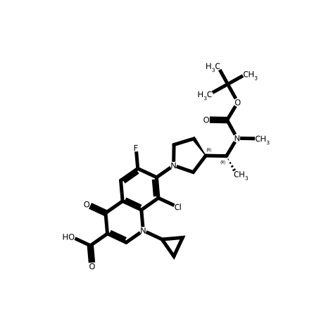 C[C@H]([C@@H]1CCN(c2c(F)cc3c(=O)c(C(=O)O)cn(C4CC4)c3c2Cl)C1)N(C)C(=O)OC(C)(C)C